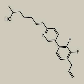 C=CCc1ccc(-c2ccc(/C=C/CCCC(C)O)nc2)c(F)c1F